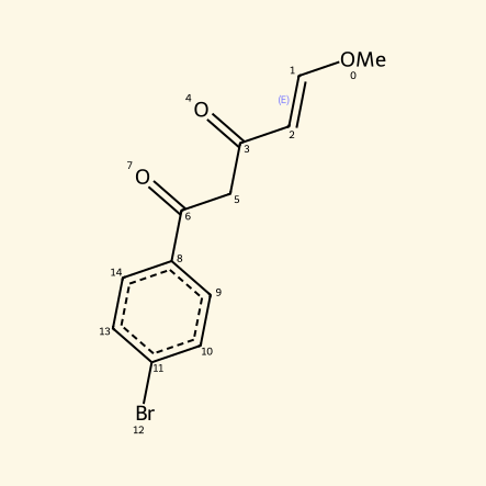 CO/C=C/C(=O)CC(=O)c1ccc(Br)cc1